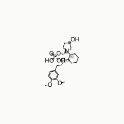 COc1ccc(CCO[C@H]2CCCC[C@@H]2[N@@+]2(COP(=O)(O)O)CC[C@@H](O)C2)cc1OC